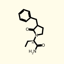 CC[C@H](C(N)=O)N1CCC(Cc2ccccc2)C1=O